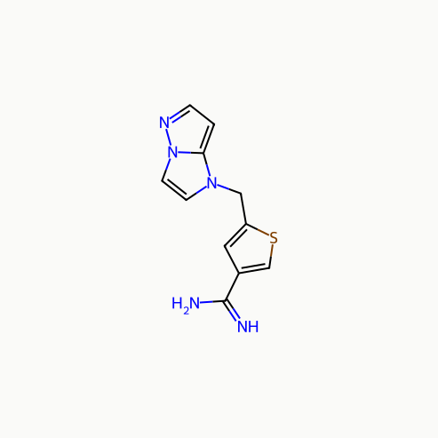 N=C(N)c1csc(Cn2ccn3nccc23)c1